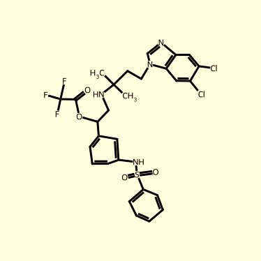 CC(C)(CCn1cnc2cc(Cl)c(Cl)cc21)NCC(OC(=O)C(F)(F)F)c1cccc(NS(=O)(=O)c2ccccc2)c1